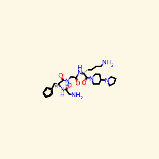 NCCCC[C@@H](NC(=O)CNC(=O)[C@@H](Cc1ccccc1)NC(=O)CN)C(=O)N1CCC(N2CCCC2)CC1